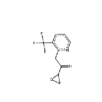 O=C(Cc1ncccc1C(F)(F)F)C1CO1